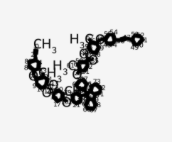 CC#Cc1ccc(Oc2ccc(S(=O)(=O)c3ccc(Oc4ccc(C5(c6ccc(Oc7ccc(S(=O)(=O)c8ccc(Oc9ccc(C#Cc%10ccccc%10)cc9)c(C)c8)cc7C)cc6)c6ccccc6-c6ccccc65)cc4)c(C)c3)cc2C)cc1